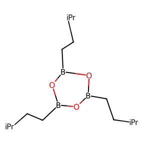 CC(C)CCB1OB(CCC(C)C)OB(CCC(C)C)O1